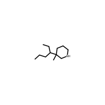 CCCC(CC)C1(C)CCCNC1